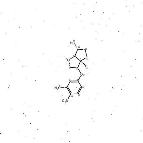 Cc1cc(OC2COC3[C@@H]2OC[C@H]3O)ccc1[N+](=O)[O-]